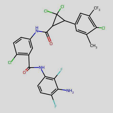 Cc1cc(C2C(C(=O)Nc3ccc(Cl)c(C(=O)Nc4ccc(F)c(N)c4F)c3)C2(Cl)Cl)cc(C(F)(F)F)c1Cl